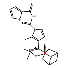 Cc1c(C(=O)N2CC3CC(C2)N3C(=O)OC(C)(C)C)cnn1-c1nn2cccc2c(=O)[nH]1